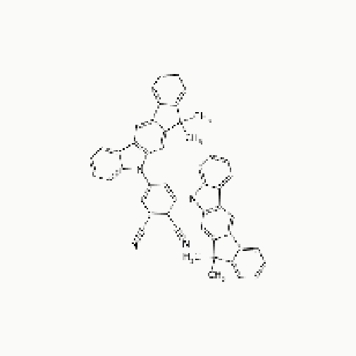 CC1(C)c2ccccc2-c2cc3c4ccccc4n(-c4cc(C#N)c(C#N)c(-n5c6ccccc6c6cc7c(cc65)C(C)(C)c5ccccc5-7)c4)c3cc21